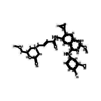 COCC1CN(CC=CC(=O)Nc2cc3c(Nc4ccc(F)c(Cl)c4)nc(OC)nc3cc2C2CC2)CC(=O)O1